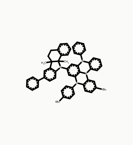 CC(C)(C)c1ccc(N2c3ccc(C(C)(C)C)cc3B3c4ccccc4N(c4ccccc4)c4cc(N5c6ccc(-c7ccccc7)cc6C6(C)CCc7ccccc7C56C)cc2c43)cc1